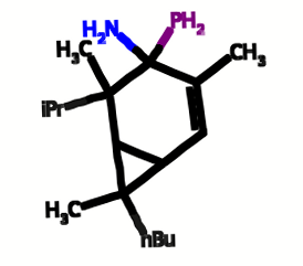 CCCCC1(C)C2C=C(C)C(N)(P)C(C)(C(C)C)C21